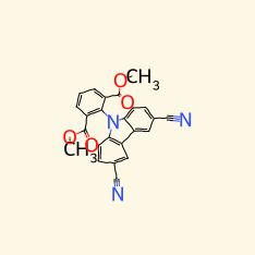 COC(=O)c1cccc(C(=O)OC)c1-n1c2ccc(C#N)cc2c2cc(C#N)ccc21